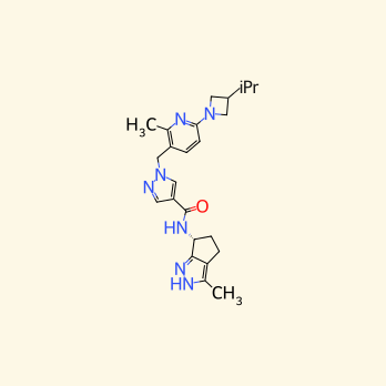 Cc1nc(N2CC(C(C)C)C2)ccc1Cn1cc(C(=O)N[C@@H]2CCc3c2n[nH]c3C)cn1